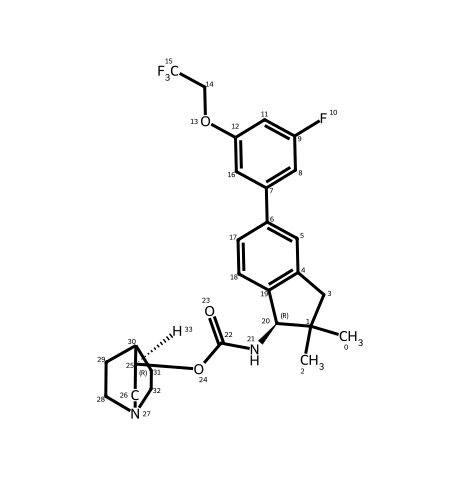 CC1(C)Cc2cc(-c3cc(F)cc(OCC(F)(F)F)c3)ccc2[C@@H]1NC(=O)O[C@H]1CN2CCC1CC2